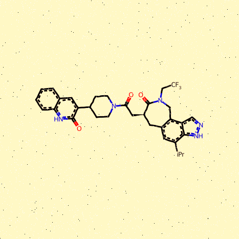 CC(C)c1cc2c(c3cn[nH]c13)CN(CC(F)(F)F)C(=O)[C@H](CC(=O)N1CCC(c3cc4ccccc4[nH]c3=O)CC1)C2